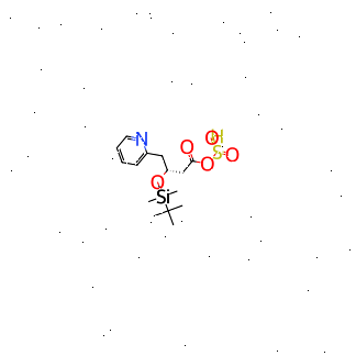 CC(C)(C)[Si](C)(C)O[C@@H](CC(=O)O[SH](=O)=O)Cc1ccccn1